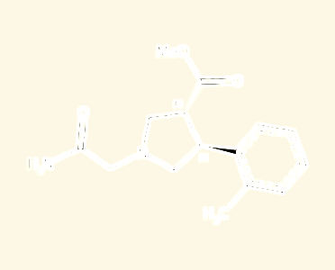 COC(=O)[C@H]1CN(CC(N)=O)C[C@@H]1c1ccccc1C